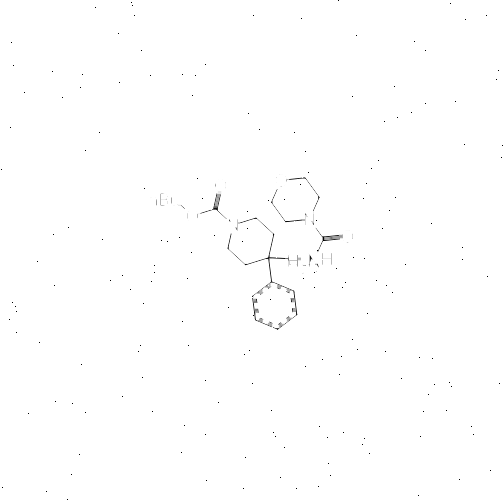 CCCCOC(=O)N1CCC(C(=O)O)(c2ccccc2)CC1.NC(=O)N1CCOCC1